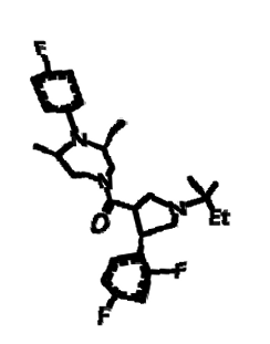 CCC(C)(C)N1CC(C(=O)N2C[C@@H](C)N(c3ccc(F)cc3)[C@@H](C)C2)[C@H](c2ccc(F)cc2F)C1